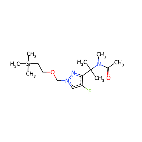 CC(=O)N(C)C(C)(C)c1nn(COCC[Si](C)(C)C)cc1F